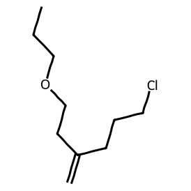 C=C(CCCCl)CCOCCC